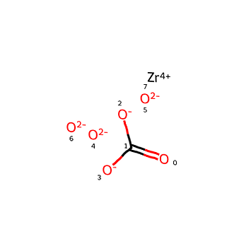 O=C([O-])[O-].[O-2].[O-2].[O-2].[Zr+4]